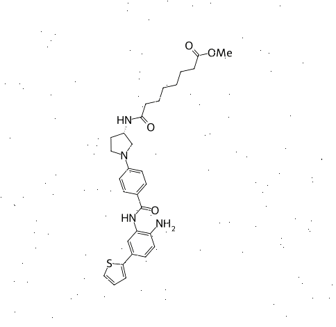 COC(=O)CCCCCCC(=O)N[C@H]1CCN(c2ccc(C(=O)Nc3cc(-c4cccs4)ccc3N)cc2)C1